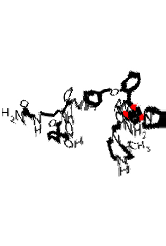 C[C@@H]1CNCCN1CCOc1cc(N2C3CCC2CN(c2cc(-c4ccccc4OCc4ccc(NC(=O)[C@H](CCCNC(N)=O)NC(=O)C5(C(=O)O)CCC5)cc4)nnc2N)C3)ccn1